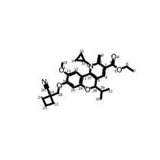 C=C1C(C(=O)OCC)=CC2=C(c3cc(OC)c(OCC4(C#N)CCC4)cc3OC2C(C)C)N1C1CC1